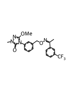 COc1nn(C)c(=O)n1-c1cccc(CON=C(C)c2cccc(C(F)(F)F)c2)c1